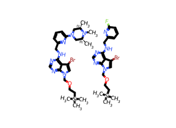 C[C@@H]1CN(c2cccc(CNc3ncnc4c3c(Br)cn4COCC[Si](C)(C)C)n2)C[C@H](C)N1C.C[Si](C)(C)CCOCn1cc(Br)c2c(NCc3cccc(F)n3)ncnc21